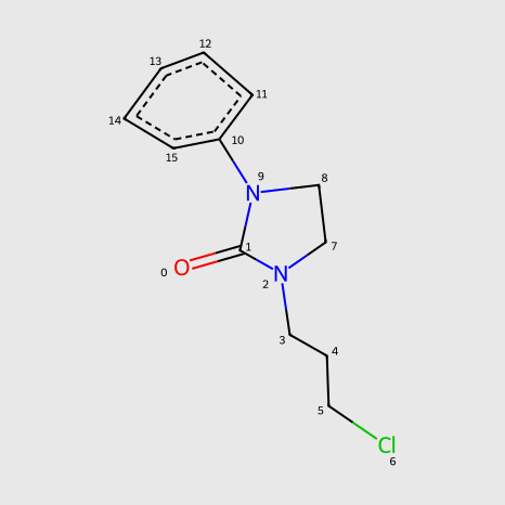 O=C1N(CCCCl)CCN1c1ccccc1